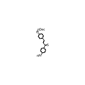 CCCCCCCCCCOc1ccc(C=CC(=S)c2ccc(CCC)cc2)cc1